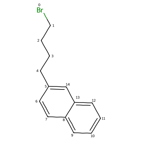 BrCCCCc1ccc2ccccc2c1